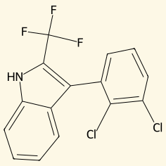 FC(F)(F)c1[nH]c2ccccc2c1-c1cccc(Cl)c1Cl